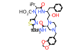 Cc1nc(CN(C(=O)O)[C@H](C(=O)N[C@@H](Cc2ccccc2)[C@H](O)CN2CCN(Cc3ccc4c(c3)OCO4)C[C@H]2C(=O)NC(C)(C)C)C(C)C)cs1